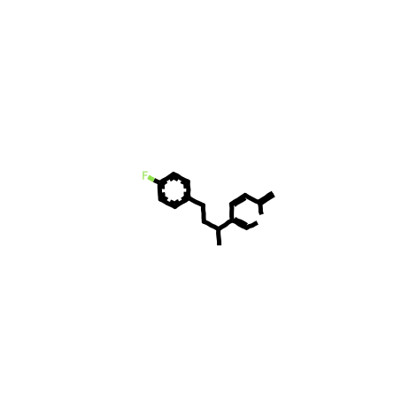 C=C(C)/C=C\C(=C/C)C(C)CCc1ccc(F)cc1